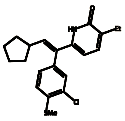 CCc1ccc(C(=CC2CCCC2)c2ccc(SC)c(Cl)c2)[nH]c1=O